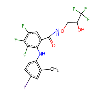 Cc1cc(I)ccc1Nc1c(C(=O)NOCC(O)C(F)(F)F)cc(F)c(F)c1F